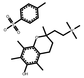 Cc1c(C)c2c(c(C)c1O)CCC(C)(CC[N+](C)(C)C)O2.Cc1ccc(S(=O)(=O)[O-])cc1